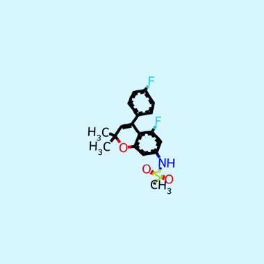 CC1(C)C=C(c2ccc(F)cc2)c2c(F)cc(NS(C)(=O)=O)cc2O1